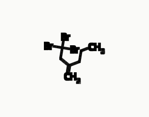 C=C(CCC)CC(Br)(Br)Br